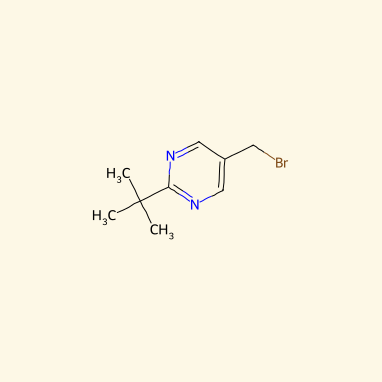 CC(C)(C)c1ncc(CBr)cn1